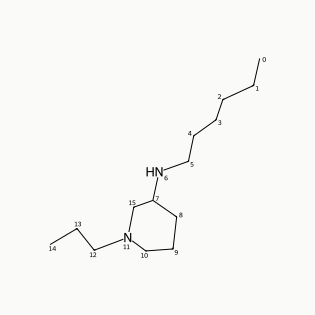 CCCCCCNC1CCCN(CCC)C1